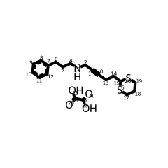 C(#CCNCCCc1ccccc1)CCC1SCCCS1.O=C(O)C(=O)O